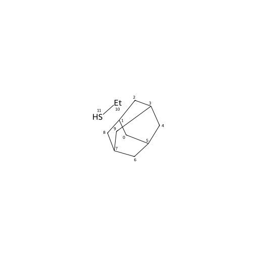 C1C2CC3CC1CC(C2)C3.CCS